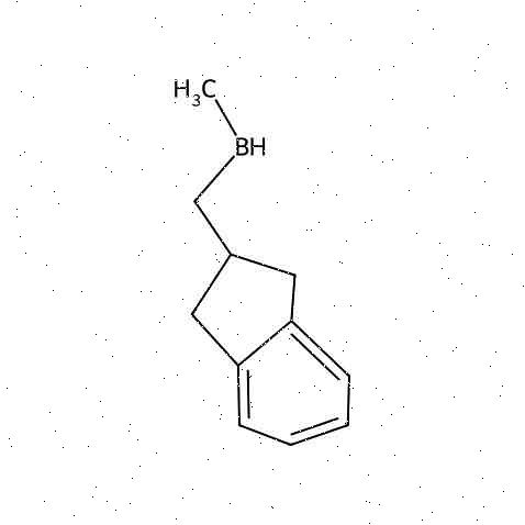 CBCC1Cc2ccccc2C1